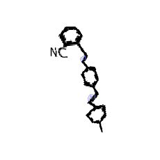 Cc1ccc(/C=C/c2ccc(/C=C/c3ccccc3C#N)cc2)cc1